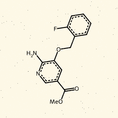 COC(=O)c1cnc(N)c(OCc2ccccc2F)c1